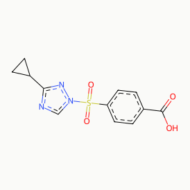 O=C(O)c1ccc(S(=O)(=O)n2cnc(C3CC3)n2)cc1